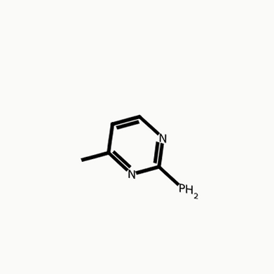 Cc1ccnc(P)n1